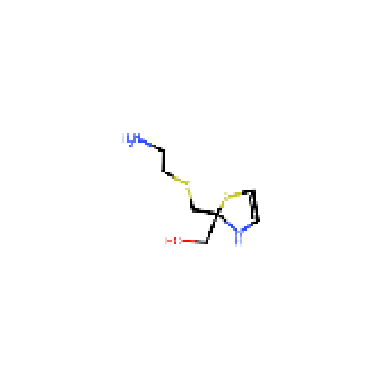 NCCSCC1(CO)NC=CS1